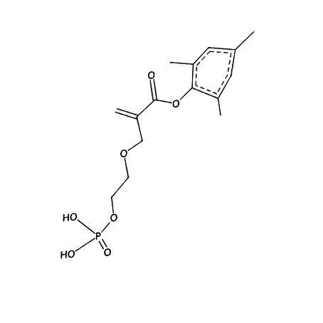 C=C(COCCOP(=O)(O)O)C(=O)Oc1c(C)cc(C)cc1C